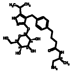 CC(C)c1[nH]nc(O[C@@H]2O[C@H](CO)[C@@H](O)[C@H](O)[C@H]2O)c1Cc1ccc(CCCC(=O)N[C@@H](C)CN)cc1